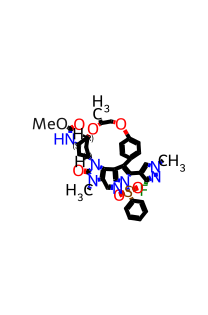 COC(=O)N[C@H]1C[C@H]2C[C@H]1OC(C)COc1ccc(cc1)-c1c(-c3cn(C)nc3F)n(S(=O)(=O)c3ccccc3)c3ncc4c(c13)n2c(=O)n4C